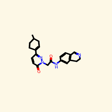 CC1CC=C(c2ccc(=O)n(CC(=O)Nc3ccc4c(c3)CCN=C4)n2)CC1